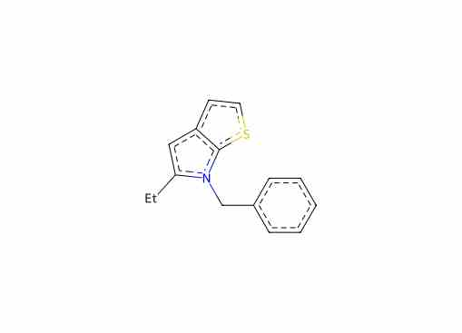 CCc1cc2ccsc2n1Cc1ccccc1